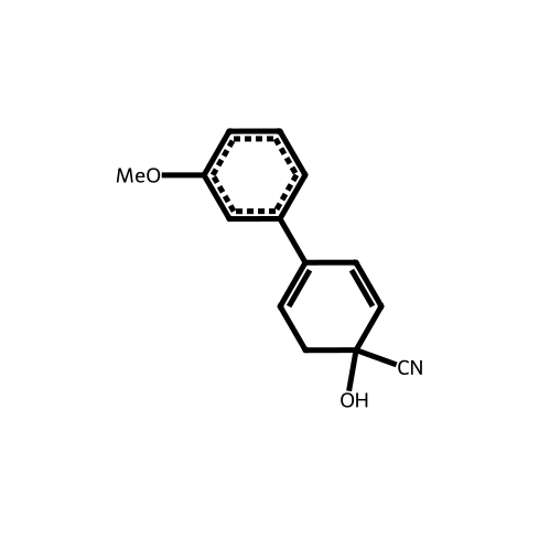 COc1cccc(C2=CCC(O)(C#N)C=C2)c1